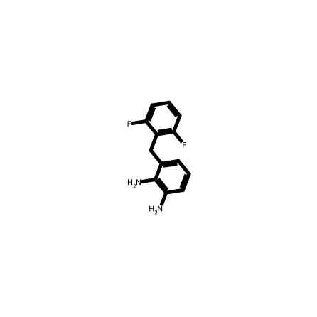 Nc1cccc(Cc2c(F)cccc2F)c1N